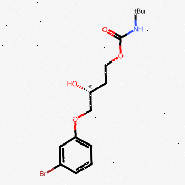 CC(C)(C)NC(=O)OCC[C@@H](O)COc1cccc(Br)c1